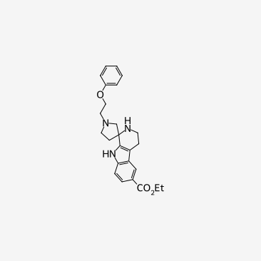 CCOC(=O)c1ccc2[nH]c3c(c2c1)CCNC31CCN(CCOc2ccccc2)C1